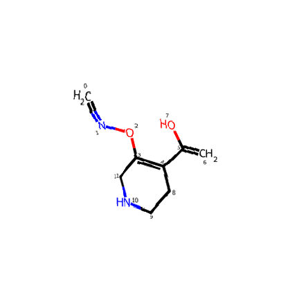 C=NOC1=C(C(=C)O)CCNC1